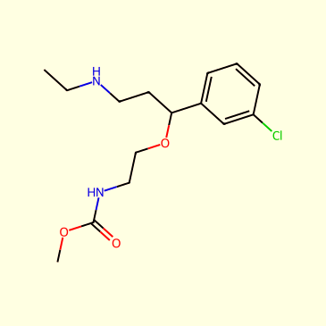 CCNCCC(OCCNC(=O)OC)c1cccc(Cl)c1